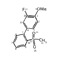 COc1ccc(-c2[c]cccc2S(C)(=O)=O)cc1F